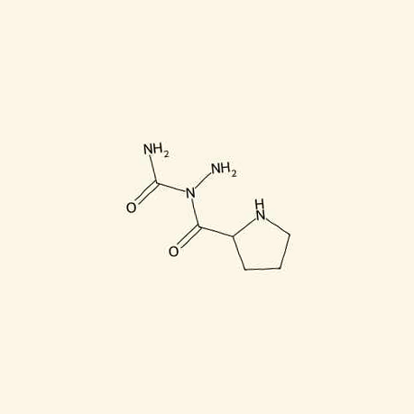 NC(=O)N(N)C(=O)C1CCCN1